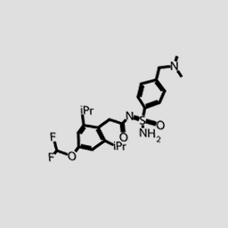 CC(C)c1cc(OC(F)F)cc(C(C)C)c1CC(=O)N=S(N)(=O)c1ccc(CN(C)C)cc1